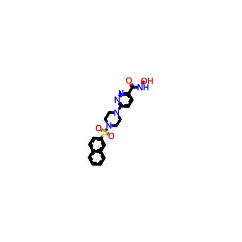 O=C(NO)c1ccc(N2CCN(S(=O)(=O)c3ccc4ccccc4c3)CC2)nn1